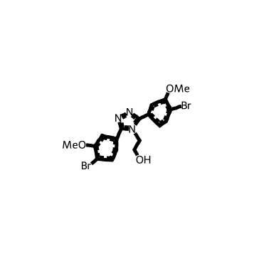 COc1cc(-c2nnc(-c3ccc(Br)c(OC)c3)n2CCO)ccc1Br